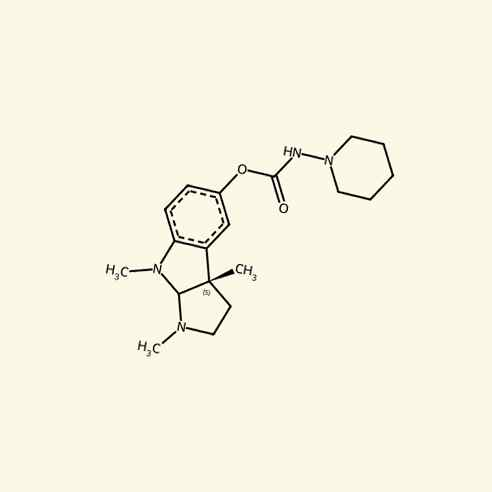 CN1CC[C@@]2(C)c3cc(OC(=O)NN4CCCCC4)ccc3N(C)C12